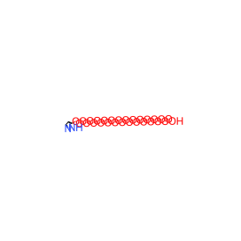 OOOOOOOOOOOOOOOOOOOOOOOOOOOOc1ccn[nH]1